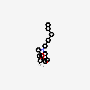 CC1CC=CC(C)(C2(c3ccccc3)c3ccccc3-c3ccc(N(c4ccc(-c5ccc(-c6cccc(-c7ccc8ccccc8c7)c6)cc5)cc4)c4ccccc4-c4ccc(-c5ccccc5)cc4)cc32)C1